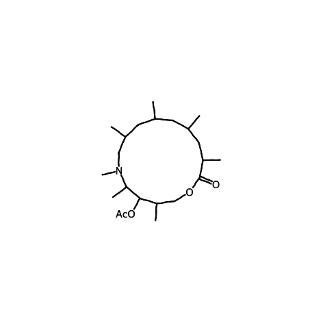 CC(=O)OC1C(C)COC(=O)C(C)CC(C)CC(C)CC(C)CN(C)C1C